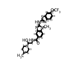 CN1CCN(C(O)CNC(=O)c2ccc3c(c2)nc(Nc2nc4ccc(OC(F)(F)F)cc4s2)n3C)CC1